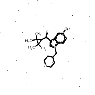 CC1(C)C(C(=O)c2cn(CC3CCOCC3)c3ccc(O)cc23)C1(C)C